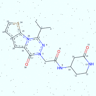 CC(C)c1nn(CC(=O)NC2CCNC(=O)C2)c(=O)c2cc3ccsc3n12